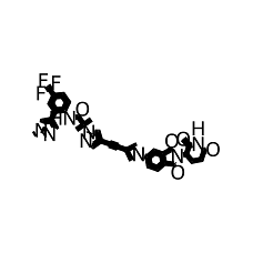 Cn1cc(-c2cc(C(F)(F)F)ccc2NC(=O)C(C)(C)n2cc(C#CC3CN(c4ccc5c(c4)C(=O)N(C4CCC(=O)NC4=O)C5=O)C3)cn2)cn1